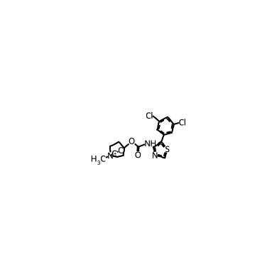 C[N+]12CCC(OC(=O)Nc3ncsc3-c3cc(Cl)cc(Cl)c3)(CC1)CC2